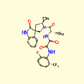 CCCC[C@H](NC(=O)C(=O)Nc1c(F)cccc1C(F)(F)F)C(=O)N1C[C@]2(C[C@H]1C#N)C(=O)Nc1ccccc12